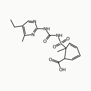 CCc1cnc(NC(=O)NS(=O)(=O)C2(C)C=CC=CC2C(=O)O)nc1C